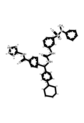 CN(c1ccccc1)S(=O)(=O)c1cccc(NC(=O)NC(c2ccc(C(=O)Nc3nn[nH]n3)cc2)c2ccc(C3CCCCC3)cc2)c1